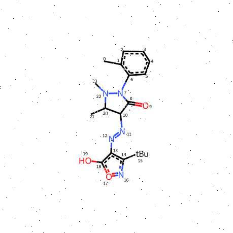 Cc1ccccc1N1C(=O)C(N=Nc2c(C(C)(C)C)noc2O)C(C)N1C